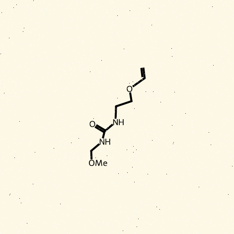 C=COCCNC(=O)NCOC